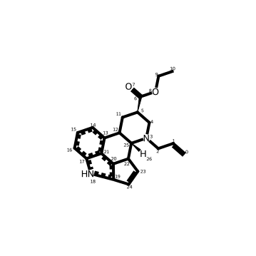 C=CCN1C[C@H](C(=O)OCC)CC2c3cccc4[nH]c5c(c34)C(C=C5)[C@H]21